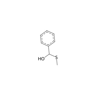 CSC(O)c1ccccc1